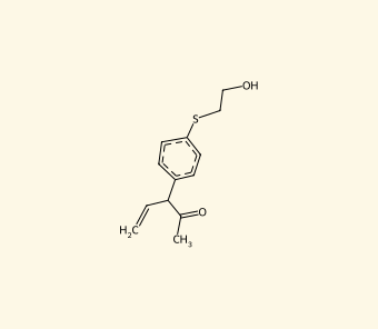 C=CC(C(C)=O)c1ccc(SCCO)cc1